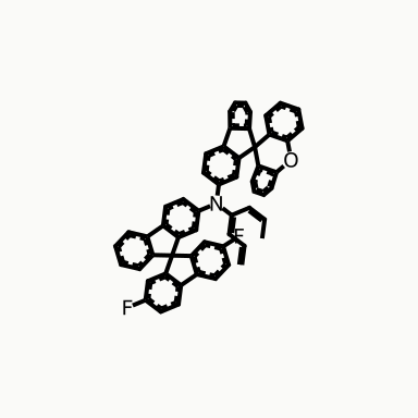 C=C/C=C(\C=C/C)N(c1ccc2c(c1)C1(c3ccccc3Oc3ccccc31)c1ccccc1-2)c1ccc2c(c1)C1(c3ccccc3-2)c2cc(F)ccc2-c2ccc(F)cc21